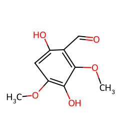 COc1cc(O)c(C=O)c(OC)c1O